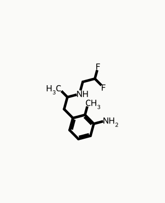 Cc1c(N)cccc1CC(C)NCC(F)F